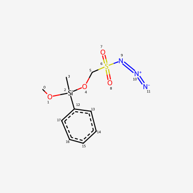 CO[Si](C)(OCS(=O)(=O)N=[N+]=[N-])c1ccccc1